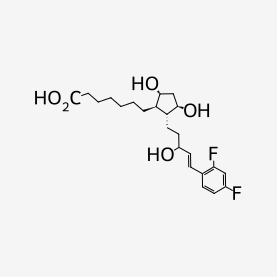 O=C(O)CCCCCC[C@@H]1[C@@H](CCC(O)/C=C/c2ccc(F)cc2F)[C@H](O)C[C@@H]1O